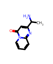 CC(N)c1cc(=O)n2ccccc2n1